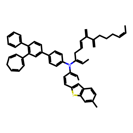 C=C(C=CC/C(=C\C)N(C(/C=C\c1cc2ccc(C)cc2s1)=C/C)c1ccc(-c2ccc(-c3ccccc3)c(C3=CC=CCC=C3)c2)cc1)C(=C)CCC/C=C\C